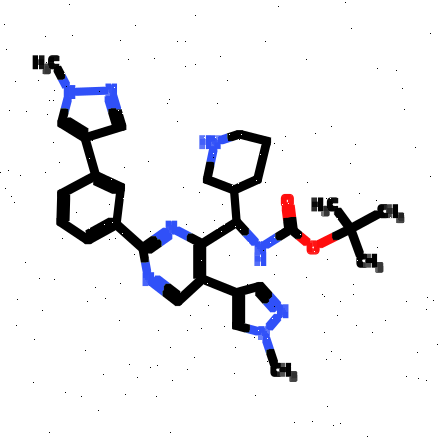 Cn1cc(-c2cccc(-c3ncc(-c4cnn(C)c4)c(C(NC(=O)OC(C)(C)C)C4CCCNC4)n3)c2)cn1